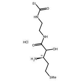 CCC(=O)NCCNC(=O)C(O)[C@H](N)CCSC.Cl